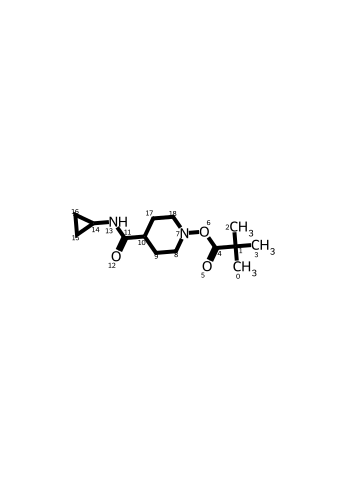 CC(C)(C)C(=O)ON1CCC(C(=O)NC2CC2)CC1